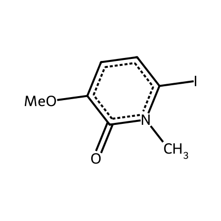 COc1ccc(I)n(C)c1=O